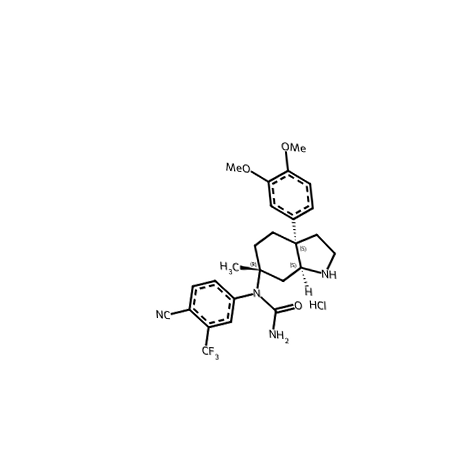 COc1ccc([C@]23CCN[C@H]2C[C@](C)(N(C(N)=O)c2ccc(C#N)c(C(F)(F)F)c2)CC3)cc1OC.Cl